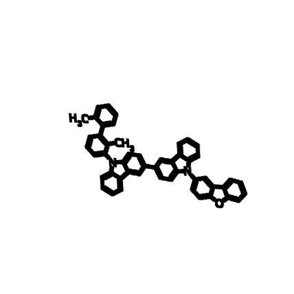 Cc1ccccc1-c1cccc(-n2c3ccccc3c3cc(-c4ccc5c(c4)c4ccccc4n5-c4ccc5oc6ccccc6c5c4)ccc32)c1C